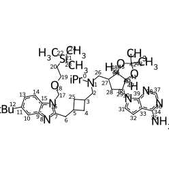 CC(C)N(CC1CC(Cc2nc3cc(C(C)(C)C)ccc3n2COCC[Si](C)(C)C)C1)CC1C[C@@H](n2ccc3c(N)ncnc32)[C@@H]2OC(C)(C)O[C@H]12